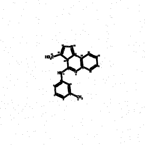 Cc1cccc(Nc2nc3ccncc3c3ncc(C(=O)O)n23)c1